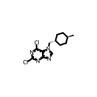 C[C@H]1CC[C@H](Cn2cnc3nc(Cl)nc(Cl)c32)CC1